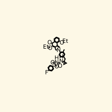 CCOC1=C2CN(c3ccc(CC4(NC(=O)NS(=O)(=O)c5ccc(F)cc5)CC4)cc3C)C=C2c2c(OCC)cccc2C1=O